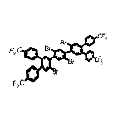 FC(F)(F)c1ccc(-c2cc(Br)c(-c3cc(Br)c(-c4cc(-c5ccc(C(F)(F)F)cc5)c(-c5ccc(C(F)(F)F)cc5)cc4Br)cc3Br)cc2-c2ccc(C(F)(F)F)cc2)cc1